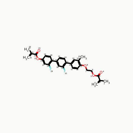 C=C(C)C(=O)OCCOc1ccc(-c2ccc(-c3ccc(OC(=O)C(=C)C)cc3F)cc2F)cc1C